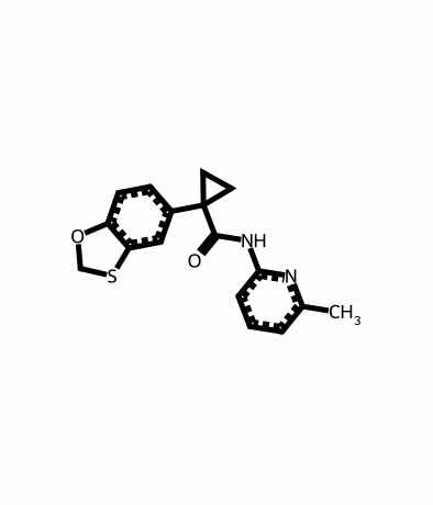 Cc1cccc(NC(=O)C2(c3ccc4c(c3)SCO4)CC2)n1